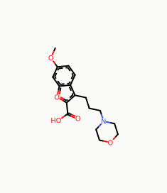 COc1ccc2c(CCCN3CCOCC3)c(C(=O)O)oc2c1